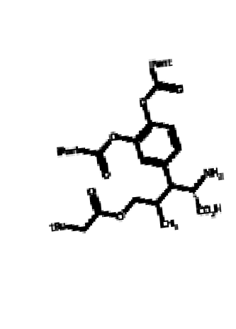 CCCC(C)C(=O)Oc1ccc(C(C(C)COC(=O)CC(C)(C)C)[C@H](N)C(=O)O)cc1OC(=O)C(C)CCC